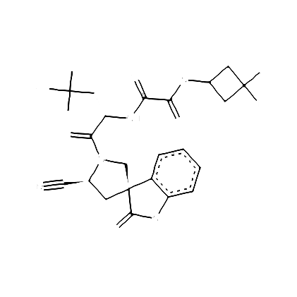 CC(C)(C)C[C@H](NC(=O)C(=O)NC1CC(F)(F)C1)C(=O)N1C[C@]2(C[C@H]1C#N)C(=O)Nc1ccccc12